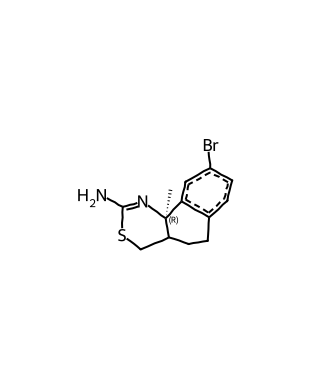 C[C@@]12N=C(N)SCC1CCc1ccc(Br)cc12